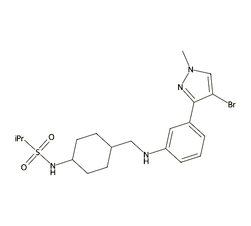 CC(C)S(=O)(=O)NC1CCC(CNc2cccc(-c3nn(C)cc3Br)c2)CC1